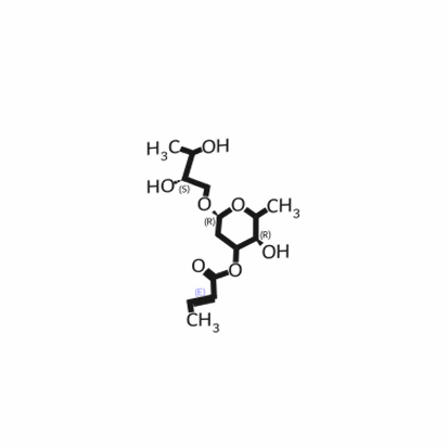 C/C=C/C(=O)OC1C[C@H](OC[C@H](O)C(C)O)OC(C)[C@H]1O